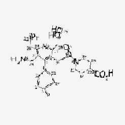 Cc1ccc(-c2c(CC(=O)N3CCC(C(=O)O)CC3)c(C)nc(CC(C)C)c2CN)cc1.Cl.Cl